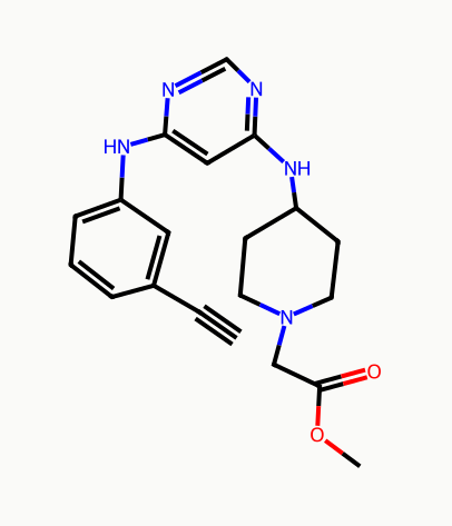 C#Cc1cccc(Nc2cc(NC3CCN(CC(=O)OC)CC3)ncn2)c1